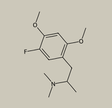 COc1cc(OC)c(CC(C)N(C)C)cc1F